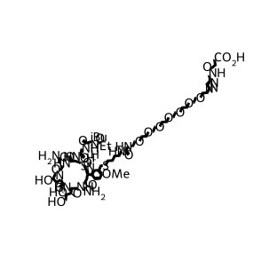 CCC(=O)N[C@H](C(=O)NCC(=O)N[C@H]1C[S+]([O-])c2[nH]c3c(CSCCCCNC(=O)NCCOCCOCCOCCOCCOCCOCCOCCn4cc(CNC(=O)CCC(=O)O)nn4)c(OC)ccc3c2C[C@@H](C(N)=O)NC(=O)[C@H]([C@@H](C)[C@@H](O)CO)NC(=O)C2C[C@@H](O)CN2C(=O)[C@H](CC(N)=O)NC1=O)[C@@H](C)CC